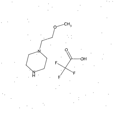 COCCN1CCNCC1.O=C(O)C(F)(F)F